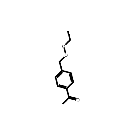 CCOOCc1ccc(C(C)=O)cc1